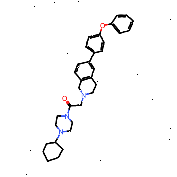 O=C(CN1CCc2cc(-c3ccc(Oc4ccccc4)cc3)ccc2C1)N1CCN(C2CCCCC2)CC1